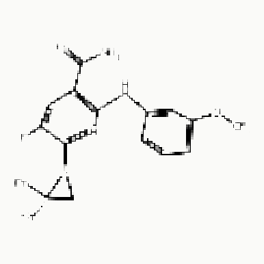 CCC[C@@]1(C(C)C)CN1c1nc(Nc2cccc(OC(F)(F)F)c2)c(C(N)=O)cc1F